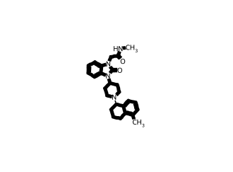 CNC(=O)Cn1c(=O)n(C2CCN([C@H]3CCCc4c(C)cccc43)CC2)c2ccccc21